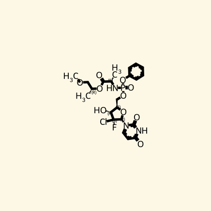 COC[C@@H](C)OC(=O)[C@H](C)NP(=O)(OC[C@H]1O[C@@H](n2ccc(=O)[nH]c2=O)[C@@](F)(Cl)[C@@H]1O)Oc1ccccc1